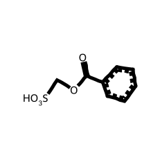 O=C(OCS(=O)(=O)O)c1ccccc1